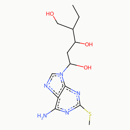 CCC(CO)C(O)CC(O)n1cnc2c(N)nc(SC)nc21